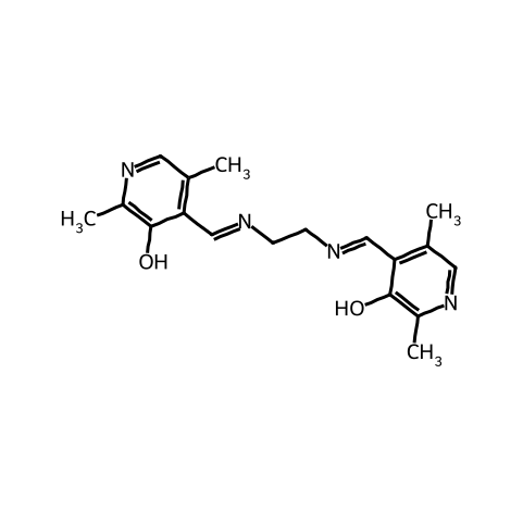 Cc1cnc(C)c(O)c1C=NCCN=Cc1c(C)cnc(C)c1O